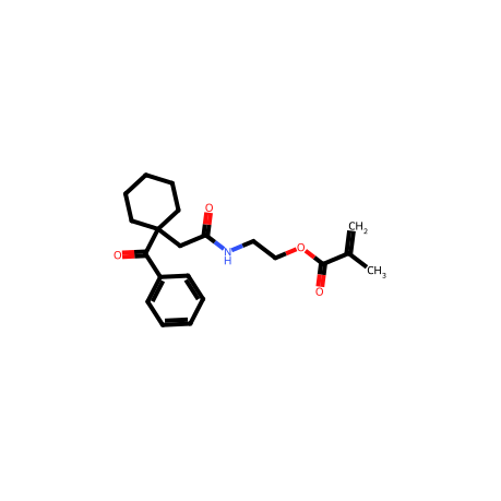 C=C(C)C(=O)OCCNC(=O)CC1(C(=O)c2ccccc2)CCCCC1